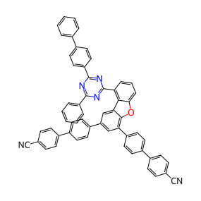 N#Cc1ccc(-c2ccc(-c3cc(-c4ccc(-c5ccc(C#N)cc5)cc4)c4oc5cccc(-c6nc(-c7ccccc7)nc(-c7ccc(-c8ccccc8)cc7)n6)c5c4c3)cc2)cc1